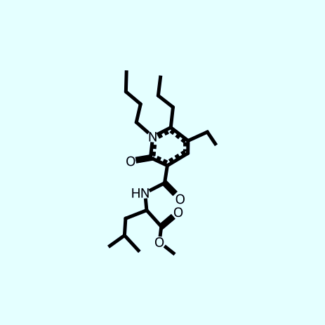 CCCCn1c(CCC)c(CC)cc(C(=O)NC(CC(C)C)C(=O)OC)c1=O